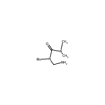 CCC(C)N(CN)C(=O)N(C)C